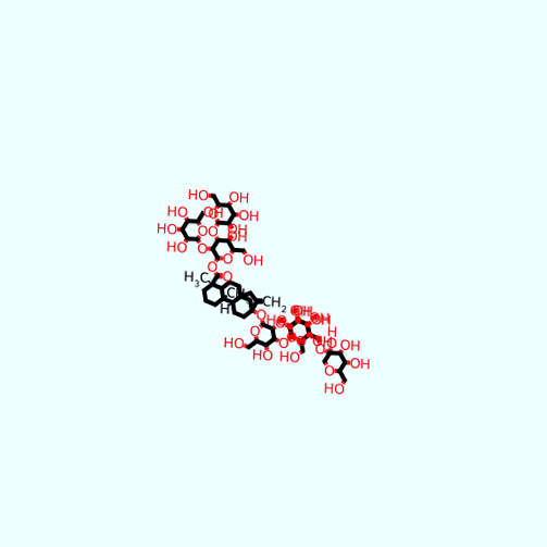 C=C1CC23CCC4[C@](C)(C(=O)OC5OC(CO)C(O)C(OC6OC(CO)C(O)C(O)C6O)C5OC5OC(CO)C(O)C(O)C5O)CCC[C@@]4(C)[C@@H]2CCC1(OC1OC(CO)C(O)C(OC2OC(COC4(O)COC(CO)C(O)C4O)C(O)C(O)C2O)C1OC1OC(CO)C(O)C(O)C1O)C3